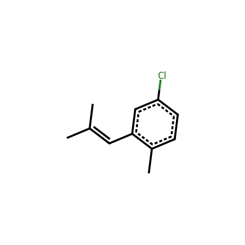 CC(C)=Cc1cc(Cl)ccc1C